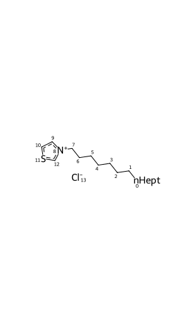 CCCCCCCCCCCCCC[n+]1ccsc1.[Cl-]